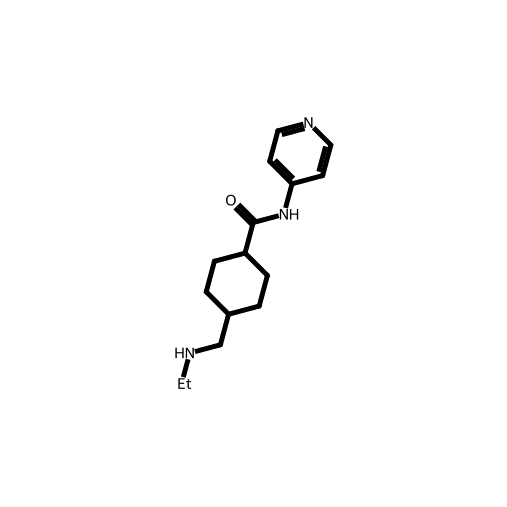 CCNCC1CCC(C(=O)Nc2ccncc2)CC1